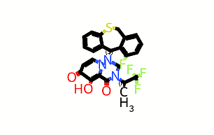 C[C@@H](N1CN([C@@H]2c3ccccc3SCc3cccc(F)c32)n2ccc(=O)c(O)c2C1=O)C(F)(F)F